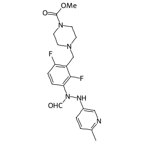 COC(=O)N1CCN(Cc2c(F)ccc(N(C=O)Nc3ccc(C)nc3)c2F)CC1